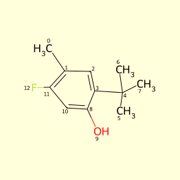 Cc1cc(C(C)(C)C)c(O)cc1F